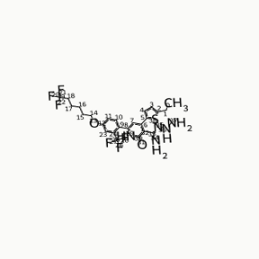 CCc1ccc(-c2cc(-c3ccc(OCCCCCC(F)(F)F)cc3C(F)(F)F)[nH]c(=O)c2/C(N)=N/NN)s1